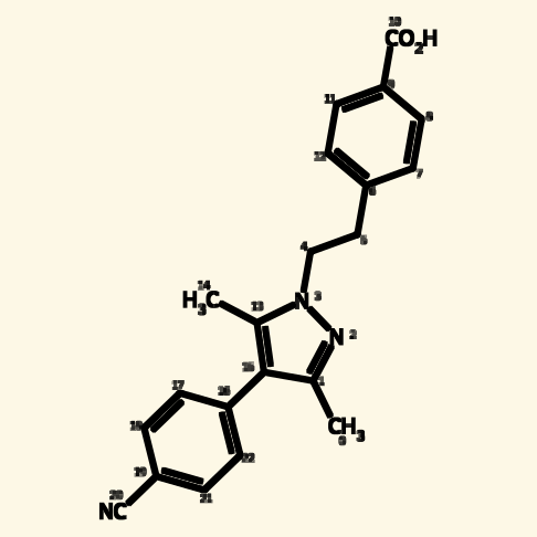 Cc1nn(CCc2ccc(C(=O)O)cc2)c(C)c1-c1ccc(C#N)cc1